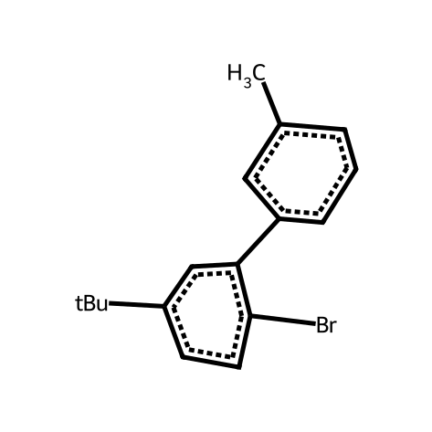 Cc1cccc(-c2cc(C(C)(C)C)ccc2Br)c1